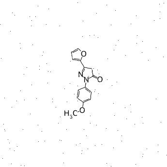 COc1ccc(N2N=C(c3ccco3)CC2=O)cc1